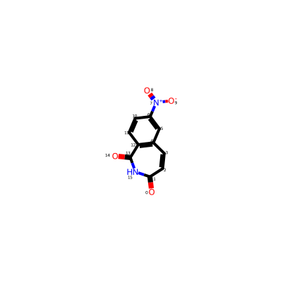 O=c1ccc2cc([N+](=O)[O-])ccc2c(=O)[nH]1